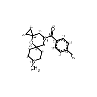 CN1CCC2(CC1)CN(C(=O)c1ccc(F)cc1)CC1(CC1)O2